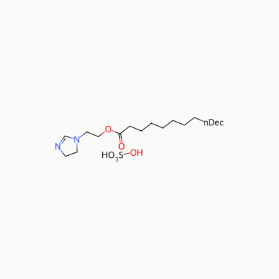 CCCCCCCCCCCCCCCCCC(=O)OCCN1C=NCC1.O=S(=O)(O)O